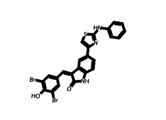 O=C1Nc2ccc(-c3csc(Nc4ccccc4)n3)cc2/C1=C/c1cc(Br)c(O)c(Br)c1